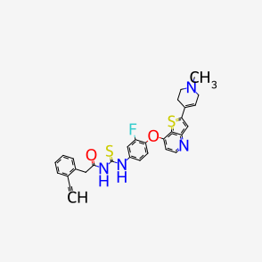 C#Cc1ccccc1CC(=O)NC(=S)Nc1ccc(Oc2ccnc3cc(C4=CCN(C)CC4)sc23)c(F)c1